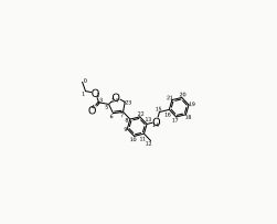 CCOC(=O)C1C=C(c2ccc(C)c(OCc3ccccc3)c2)CO1